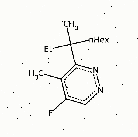 CCCCCCC(C)(CC)c1nncc(F)c1C